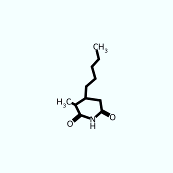 CCCCCC1CC(=O)NC(=O)C1C